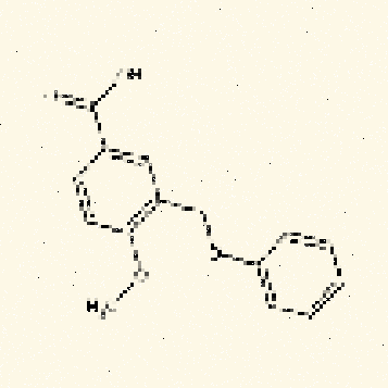 COc1ccc(C(=O)O)cc1COc1ccccc1